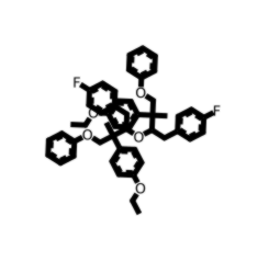 CCOc1ccc(C(C)(COc2ccccc2)C(Cc2ccc(F)cc2)OC(Cc2ccc(F)cc2)C(C)(COc2ccccc2)c2ccc(OCC)cc2)cc1